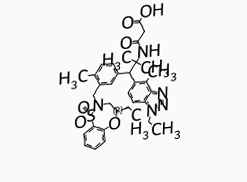 CC[C@@H]1CN(Cc2cc(C(c3ccc4c(nnn4CC)c3C)C(C)(C)NC(=O)CC(=O)O)ccc2C)S(=O)(=O)c2ccccc2O1